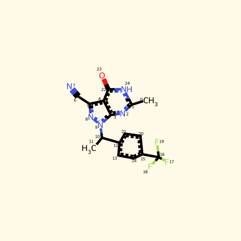 Cc1nc2c(c(C#N)nn2C(C)c2ccc(C(F)(F)F)cc2)c(=O)[nH]1